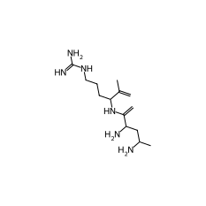 C=C(NC(CCCNC(=N)N)C(=C)C)C(N)CC(C)N